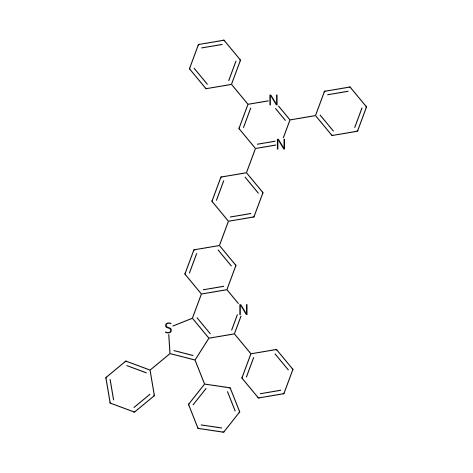 c1ccc(-c2cc(-c3ccc(-c4ccc5c(c4)nc(-c4ccccc4)c4c(-c6ccccc6)c(-c6ccccc6)sc45)cc3)nc(-c3ccccc3)n2)cc1